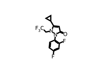 O=c1cc(C2CC2)n(CC(F)(F)F)n1-c1ccc(F)cc1F